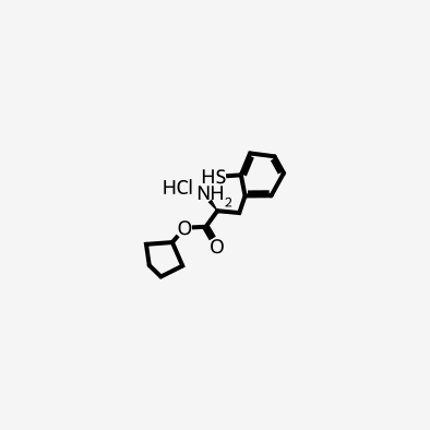 Cl.N[C@@H](Cc1ccccc1S)C(=O)OC1CCCC1